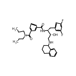 CCCN(CCC)C(=O)c1cccc(C(=O)N[C@@H](Cc2cc(F)cc(F)c2)[C@H](O)CNC2CCCc3ccccc32)c1